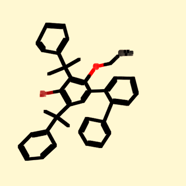 COCOc1c(-c2ccccc2-c2ccccc2)cc(C(C)(C)c2ccccc2)c(Br)c1C(C)(C)c1ccccc1